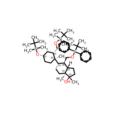 CC(C)(C)[Si](C)(C)OC[C@H]1C[C@@H](O[Si](C)(C)C(C)(C)C)CC[C@]1(C)[C@H]1CC[C@@]2(C)[C@@H](CC[C@]2(C)O)[C@@H]1CO[Si](c1ccccc1)(c1ccccc1)C(C)(C)C